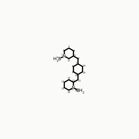 BN1CCCC(CC2CCC(CC3CCCCN3B)CC2)C1